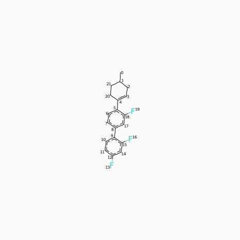 CC1CC=C(c2ccc(-c3ccc(F)cc3F)cc2F)CC1